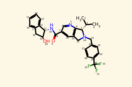 CC(C)[C@H]1c2ncc(C(=O)N[C@H]3c4ccccc4C[C@@H]3O)cc2CN1Cc1ccc(C(F)(F)F)cc1